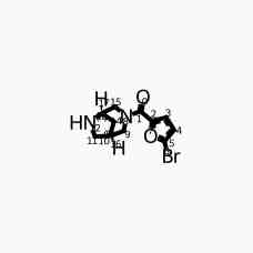 O=C(c1ccc(Br)o1)N1C[C@H]2CN[C@H](C2)C1